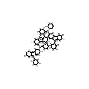 c1ccc(N(c2ccc3c(c2)c2ccccc2n3-c2ccccc2)c2cccc3c2c2cccc4c5c(N(c6ccccc6)c6ccc7c(c6)c6ccccc6n7-c6ccccc6)cccc5n3c24)cc1